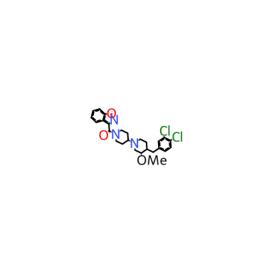 CO[C@@H]1CN(C2CCN(C(=O)c3noc4ccccc34)CC2)CCC1Cc1ccc(Cl)c(Cl)c1